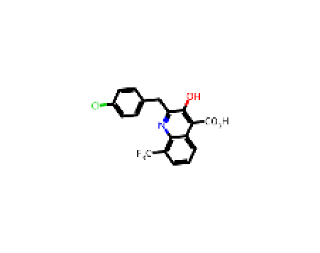 O=C(O)c1c(O)c(Cc2ccc(Cl)cc2)nc2c(C(F)(F)F)cccc12